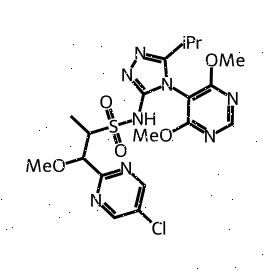 COc1ncnc(OC)c1-n1c(NS(=O)(=O)C(C)C(OC)c2ncc(Cl)cn2)nnc1C(C)C